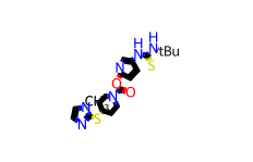 Cn1ccnc1SC1CCN(C(=O)Oc2ccc(NC(=S)NC(C)(C)C)cn2)CC1